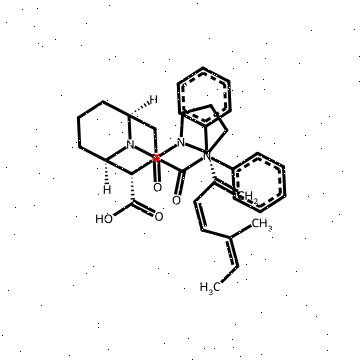 C=C(/C=C\C(C)=C/C)[C@H]1CCCN1C(=O)N1[C@H]2CCC[C@@H]1[C@@H](C(=O)O)N(C(=O)N(c1ccccc1)c1ccccc1)C2